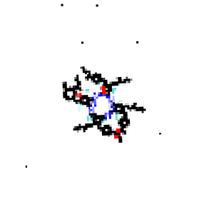 C=CC1C=C/C=C(Cc2c(F)c3c(c(F)c2OCC(=C)CCC)-c2nc-3nc(C)c3c(F)c(CCC(=C)CCC)c(Cc4ccc(C(=C)CCC)cc4)c(F)c3c(C)nc3nc(nc4c5c(F)c(CCC(=C)CCC)c(Cc6ccc(C(=C)CCC)cc6)c(F)c5c(n2)n4SC)-c2c(F)c(CCC(=C)CCC)c(Cc4ccc(C(=C)CCC)cc4)c(F)c2-3)\C=C/C1